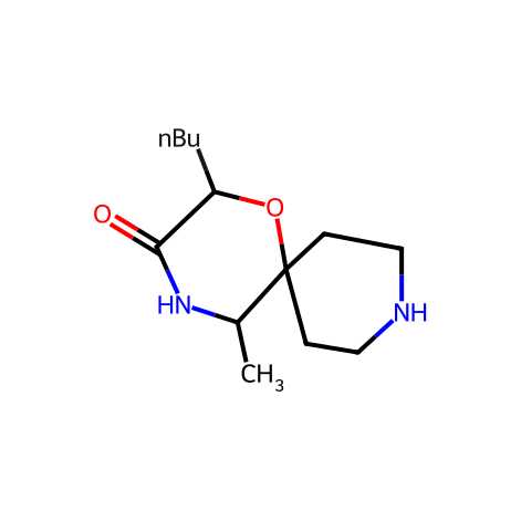 CCCCC1OC2(CCNCC2)C(C)NC1=O